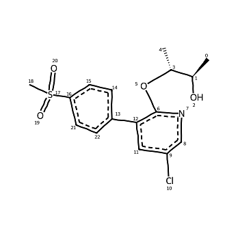 C[C@@H](O)[C@@H](C)Oc1ncc(Cl)cc1-c1ccc(S(C)(=O)=O)cc1